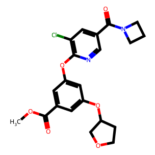 COC(=O)c1cc(Oc2ncc(C(=O)N3CCC3)cc2Cl)cc(OC2CCOC2)c1